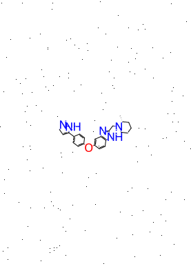 C[C@@H]1CCCCN1Cc1nc2cc(Oc3ccc(-c4ccn[nH]4)cc3)ccc2[nH]1